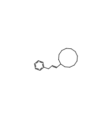 C(=C\C1CCCCCCCCCCC1)/Cc1ccccc1